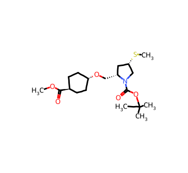 COC(=O)[C@H]1CC[C@H](OC[C@@H]2C[C@H](SC)CN2C(=O)OC(C)(C)C)CC1